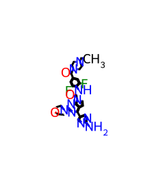 CCN1CCN(C(=O)c2cc(F)c(NC(=O)n3ccc4c(-c5cnc(N)nc5)nc(N5CCOCC5)nc43)c(F)c2)CC1